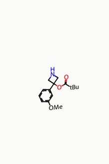 COc1cccc(C2(OC(=O)C(C)(C)C)CNC2)c1